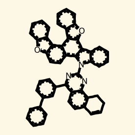 C1=Cc2ccc3c(-c4cccc(-c5ccccc5)c4)nc(-n4c5ccccc5c5c6oc7ccccc7c6c6c(ccc7oc8ccccc8c76)c54)nc3c2CC1